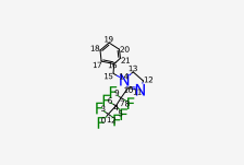 FC(F)(F)C(F)(F)C(F)(F)C1=NCCN1Cc1ccccc1